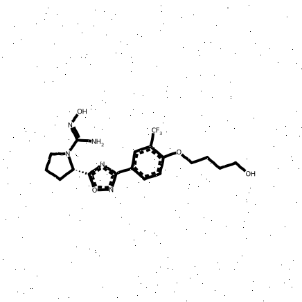 N/C(=N\O)N1CCC[C@H]1c1nc(-c2ccc(OCCCCO)c(C(F)(F)F)c2)no1